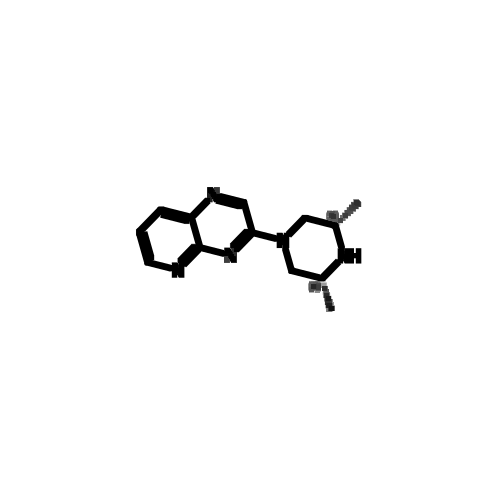 C[C@@H]1CN(c2cnc3cccnc3n2)C[C@H](C)N1